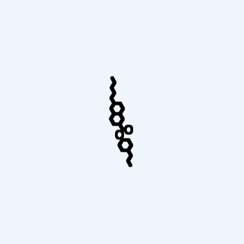 CCCCCC1CCC2CC(C(=O)OC3CCC(CCC)CC3)CCC2C1